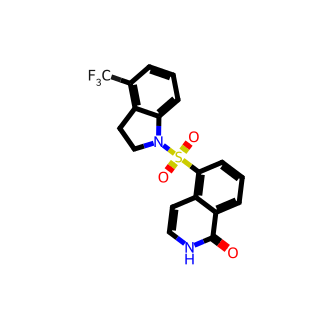 O=c1[nH]ccc2c(S(=O)(=O)N3CCc4c3cccc4C(F)(F)F)cccc12